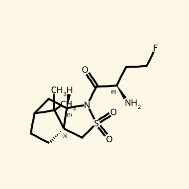 CC1(C)C2CC[C@]13CS(=O)(=O)N(C(=O)[C@H](N)CCF)[C@H]3C2